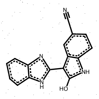 N#Cc1ccc2[nH]c(O)c(-c3nc4ccccc4[nH]3)c2c1